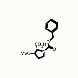 CO[C@@H]1CCN(C(=O)OCc2ccccc2)[C@H]1C(=O)O